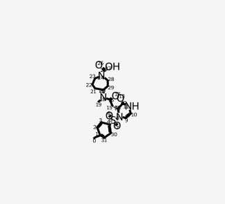 Cc1ccc(S(=O)(=O)N2C=CNC(=O)[C@H]2CC(=O)N(C)[C@H]2CCCN(C(=O)O)CC2)cc1